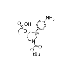 CC(C)(C)OC(=O)N1CCC[C@@H](c2ccc(N)cc2)C1.CCS(=O)(=O)O